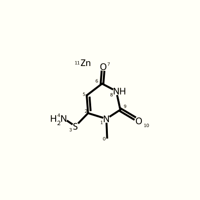 Cn1c(SN)cc(=O)[nH]c1=O.[Zn]